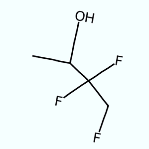 CC(O)C(F)(F)CF